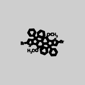 COc1cc2c3c(c(OC)cc2c2c1-c1sc(Br)cc1C2(c1ccccc1)c1ccccc1)-c1sc(Br)cc1C3(c1ccccc1)c1ccccc1